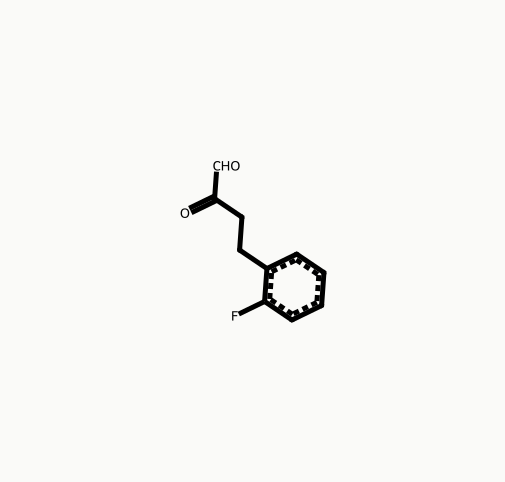 O=CC(=O)CCc1ccccc1F